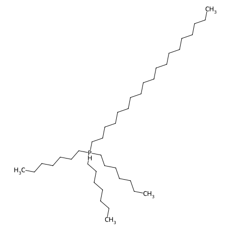 CCCCCCCCCCCCCCCCCCC[PH](CCCCCCC)(CCCCCCC)CCCCCCC